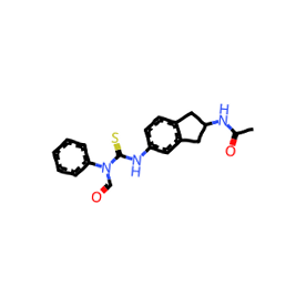 CC(=O)NC1Cc2ccc(NC(=S)N(C=O)c3ccccc3)cc2C1